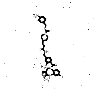 Cc1cc(CNC(=O)CCC2CCN(C(=O)OCc3ccc([N+](=O)[O-])cc3)CC2)ccc1C(=O)N1Cc2cnn(C)c2Nc2cc(Cl)ccc21